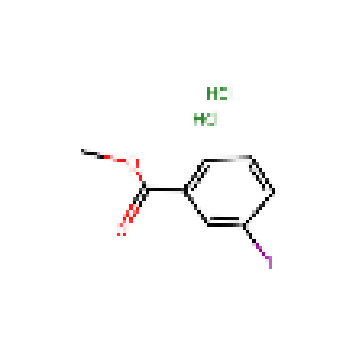 COC(=O)c1cccc(I)c1.Cl.Cl